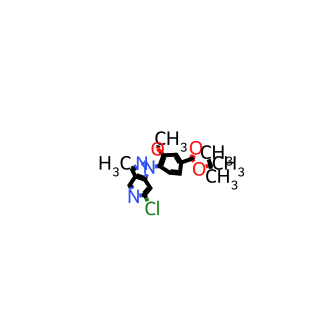 COc1cc(C(=O)OC(C)(C)C)ccc1-n1nc(C)c2cnc(Cl)cc21